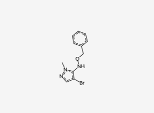 Cn1ncc(Br)c1NOCc1ccccc1